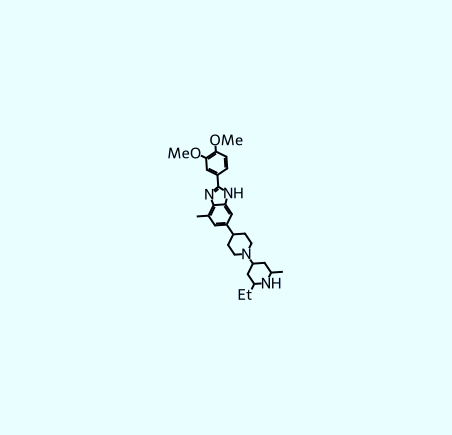 CCC1CC(N2CCC(c3cc(C)c4nc(-c5ccc(OC)c(OC)c5)[nH]c4c3)CC2)CC(C)N1